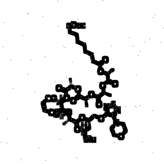 CCCCCCCCCCCCCCCCCC(=O)O[C@@H](C)C(=O)O[C@@H](C)C(=O)O[C@@H](C)C(=O)O[C@@H](C)C(=O)O[C@@H](C)C(=O)O[C@@H](C)C(=O)O[C@@H](CNC(C)(C)C)COc1nsnc1N1CCOCC1.O=C(O)/C=C\C(=O)O